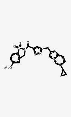 COc1ccc2c(c1)CN(C(=O)c1cn(Cc3cn4cc(C5CC5)ccc4n3)nn1)S2(=O)=O